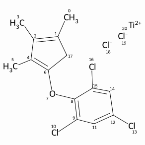 CC1=C(C)C(C)=C(Oc2c(Cl)cc(Cl)cc2Cl)C1.[Cl-].[Cl-].[Ti+2]